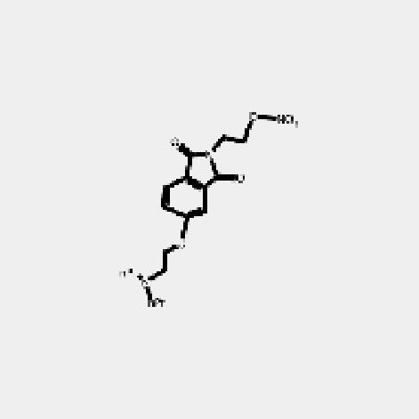 CCCN(CCC)CCOc1ccc2c(c1)C(=O)N(CCO[N+](=O)[O-])C2=O